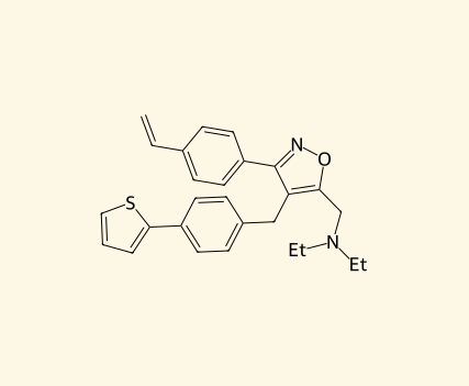 C=Cc1ccc(-c2noc(CN(CC)CC)c2Cc2ccc(-c3cccs3)cc2)cc1